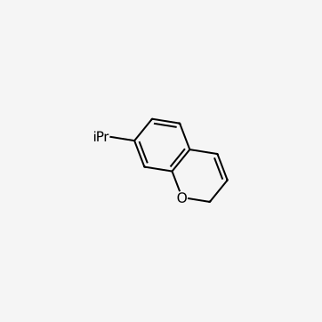 CC(C)c1ccc2c(c1)OCC=C2